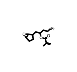 C=C(C)C(=O)OC(CCC(C)C)CC1CCC2OC12